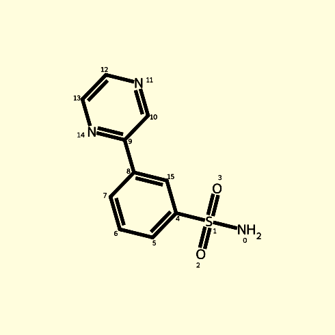 NS(=O)(=O)c1cccc(-c2cnccn2)c1